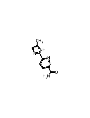 Cc1cnc(-c2ccc(C(N)=O)nn2)[nH]1